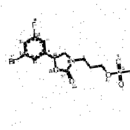 CS(=O)(=O)OCCCN1CC(c2cc(F)cc(Br)c2)OC1=O